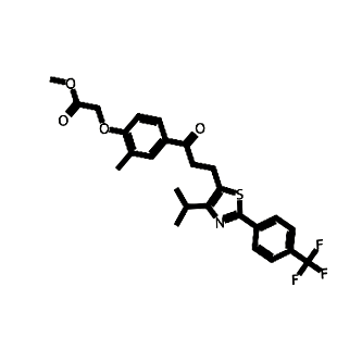 COC(=O)COc1ccc(C(=O)CCc2sc(-c3ccc(C(F)(F)F)cc3)nc2C(C)C)cc1C